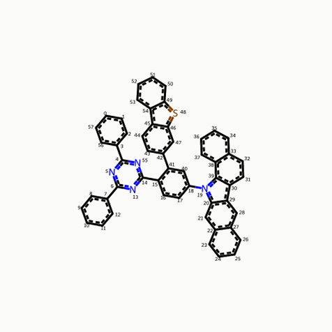 c1ccc(-c2nc(-c3ccccc3)nc(-c3ccc(-n4c5cc6ccccc6cc5c5ccc6ccccc6c54)cc3-c3ccc4c(c3)sc3ccccc34)n2)cc1